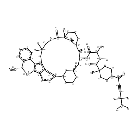 CCn1c(-c2cccnc2[C@H](C)OC)c2c3cc(ccc31)N1CCC[C@@H](C[C@H](NC(=O)C(C(C)C)N(C)C(=O)C3(F)CCN(C(=O)C#CC(C)(C)N(C)C)CC3)C(=O)N3CCC[C@H](N3)C(=O)OCC(C)(C)C2)C1